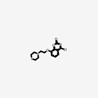 CCc1nc(=O)oc2c(OCCN3CCSCC3)cccc12